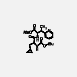 COC(=O)C(NC(=O)C(CC1CC1)NC(=O)OC(C)(C)C)C(C)c1ccccn1